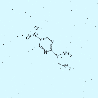 NCC(N)c1ncc([N+](=O)[O-])cn1